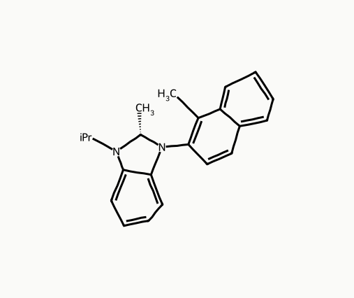 Cc1c(N2c3ccccc3N(C(C)C)[C@@H]2C)ccc2ccccc12